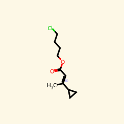 C/C(=C\C(=O)OCCCCCl)C1CC1